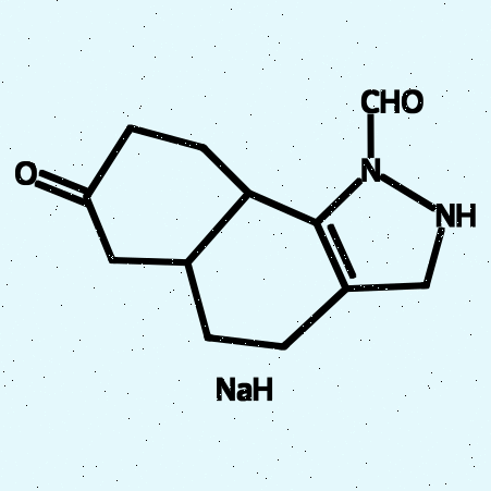 O=CN1NCC2=C1C1CCC(=O)CC1CC2.[NaH]